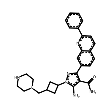 NC(=O)c1c(-c2ccc3ccc(-c4ccccc4)nc3c2)nn(C2CC(CN3CCNCC3)C2)c1N